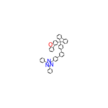 c1ccc(-c2nc(-c3ccccc3)nc(-c3ccc(-c4cccc(-c5ccc(C6(c7ccc8oc9ccccc9c8c7)c7ccccc7-c7ccccc76)cc5)c4)cc3)n2)cc1